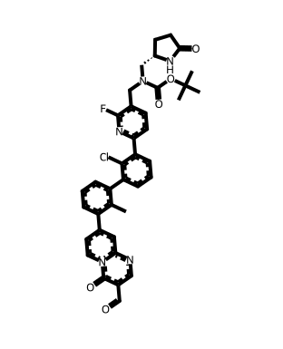 Cc1c(-c2ccn3c(=O)c(C=O)cnc3c2)cccc1-c1cccc(-c2ccc(CN(C[C@@H]3CCC(=O)N3)C(=O)OC(C)(C)C)c(F)n2)c1Cl